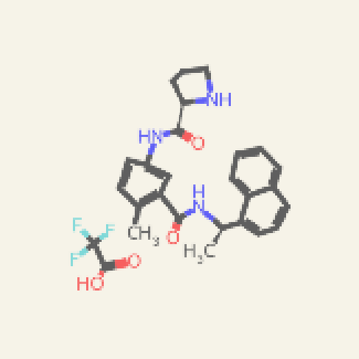 Cc1ccc(NC(=O)[C@H]2CCCN2)cc1C(=O)N[C@H](C)c1cccc2ccccc12.O=C(O)C(F)(F)F